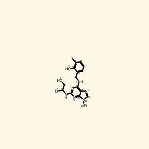 CCC(CO)Nc1nc(NCc2cccc(C)c2O)c2ncn(C(C)C)c2n1